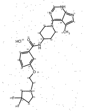 Cc1cnc2[nH]cnc(N3CCC(NC(=O)c4cccc(OCCN5CCC(F)(F)C5)c4)CC3)c1-2.Cl